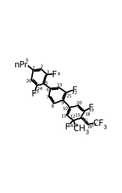 CCCc1cc(F)c(-c2ccc(C3=CC(C)(F)/C(=C/C(F)(F)F)C(F)=C3)c(F)c2)c(F)c1